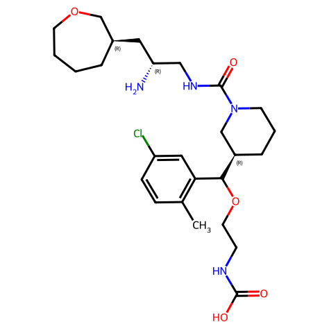 Cc1ccc(Cl)cc1C(OCCNC(=O)O)[C@@H]1CCCN(C(=O)NC[C@H](N)C[C@H]2CCCCOC2)C1